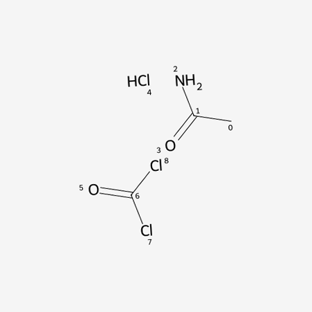 CC(N)=O.Cl.O=C(Cl)Cl